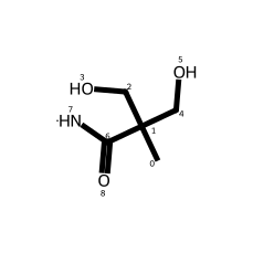 CC(CO)(CO)C([NH])=O